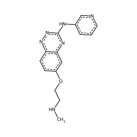 CNCCOc1ccc2nnc(Nc3cccnc3)nc2c1